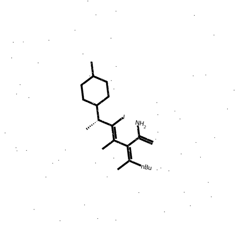 C=C(N)C(=C(/C)CCCC)/C(C)=C(\I)[C@H](C)C1CCC(C)CC1